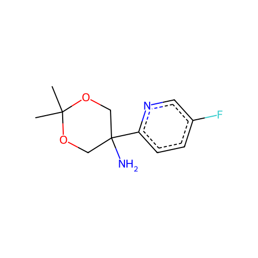 CC1(C)OCC(N)(c2ccc(F)cn2)CO1